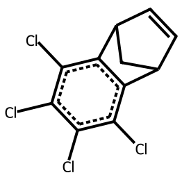 Clc1c(Cl)c(Cl)c2c(c1Cl)C1C=CC2C1